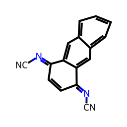 N#C/N=C1C=C/C(=N\C#N)c2cc3ccccc3cc2\1